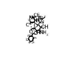 Cc1nc([C@@H]2OC3COC(c4ccccc4)O[C@@H]3C(N)C2O)n(-c2cc(Cl)cnc2C(F)(F)F)n1